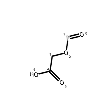 O=POCC(=O)O